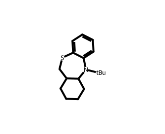 CC(C)(C)N1c2ccccc2SCC2CCCCC21